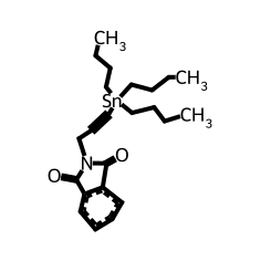 CCC[CH2][Sn]([C]#CCN1C(=O)c2ccccc2C1=O)([CH2]CCC)[CH2]CCC